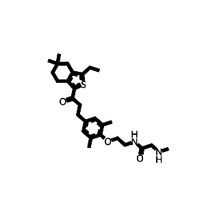 CCc1sc(C(=O)CCc2cc(C)c(OCCNC(=O)CNC)c(C)c2)c2c1CC(C)(C)CC2